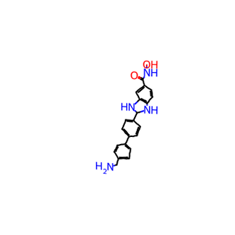 NCc1ccc(-c2ccc(C3Nc4ccc(C(=O)NO)cc4N3)cc2)cc1